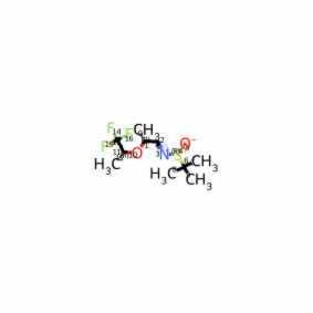 C[C@H](/C=N/[S@@+]([O-])C(C)(C)C)O[C@H](C)C(F)(F)F